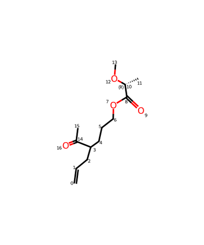 C=CCC(CCCOC(=O)[C@@H](C)OC)C(C)=O